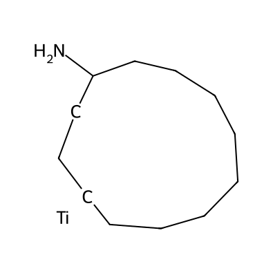 NC1CCCCCCCCCCC1.[Ti]